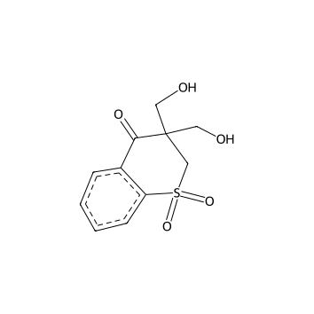 O=C1c2ccccc2S(=O)(=O)CC1(CO)CO